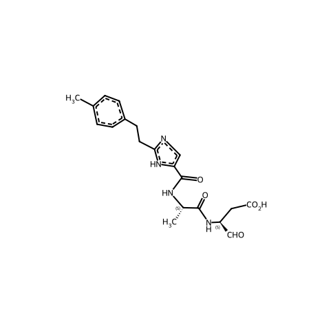 Cc1ccc(CCc2ncc(C(=O)N[C@@H](C)C(=O)N[C@H](C=O)CC(=O)O)[nH]2)cc1